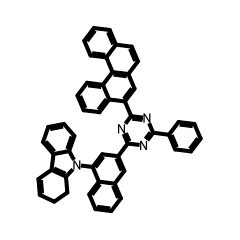 C1=Cc2c(n(-c3cc(-c4nc(-c5ccccc5)nc(-c5cc6ccc7ccccc7c6c6ccccc56)n4)cc4ccccc34)c3ccccc23)CC1